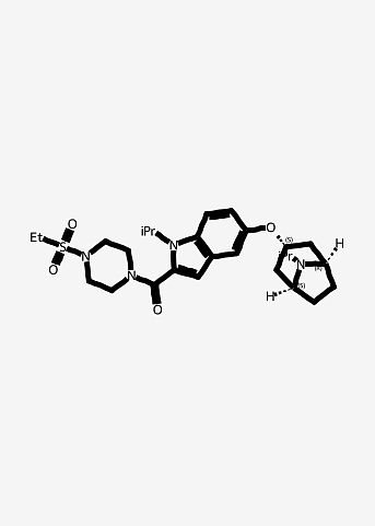 CCS(=O)(=O)N1CCN(C(=O)c2cc3cc(O[C@@H]4C[C@H]5CC[C@@H](C4)N5C(C)C)ccc3n2C(C)C)CC1